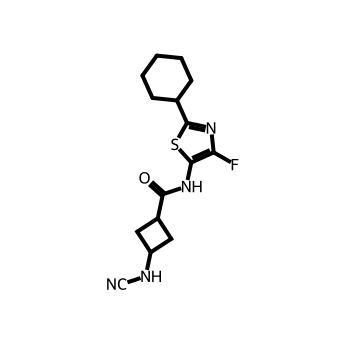 N#CNC1CC(C(=O)Nc2sc(C3CCCCC3)nc2F)C1